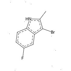 Cc1[nH]c2ccc(F)cc2c1Br